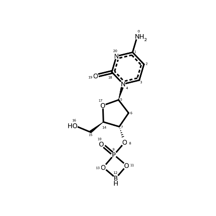 Nc1ccn([C@H]2C[C@H](OP3(=O)OBO3)[C@@H](CO)O2)c(=O)n1